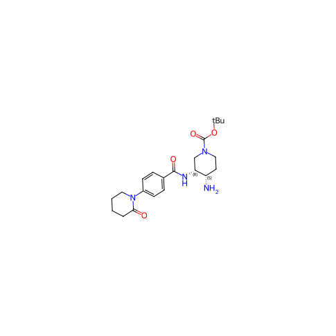 CC(C)(C)OC(=O)N1CC[C@H](N)[C@H](NC(=O)c2ccc(N3CCCCC3=O)cc2)C1